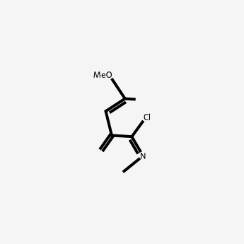 C=C(/C=C(\C)OC)/C(Cl)=N\C